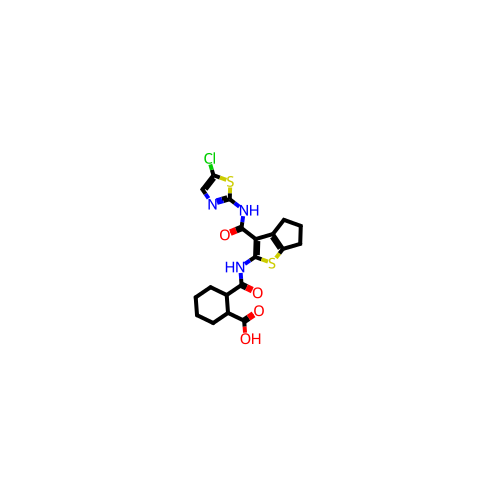 O=C(Nc1ncc(Cl)s1)c1c(NC(=O)C2CCCCC2C(=O)O)sc2c1CCC2